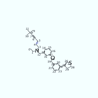 CCN(C/C=C/C#CC(C)(C)C)Cc1cccc(OCc2cccc(C3=CSCC3)c2)c1